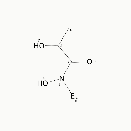 CCN(O)C(=O)C(C)O